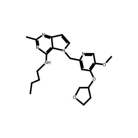 CCCCNc1nc(C)nc2ccn(Cc3cc(OC4CCOC4)c(OC)cn3)c12